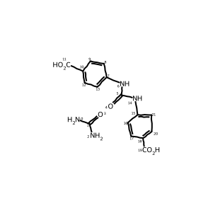 NC(N)=O.O=C(Nc1ccc(C(=O)O)cc1)Nc1ccc(C(=O)O)cc1